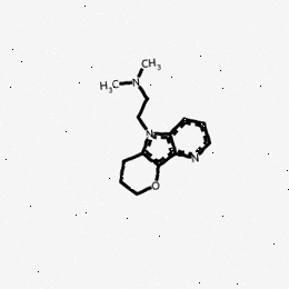 CN(C)CCn1c2c(c3ncccc31)OCCC2